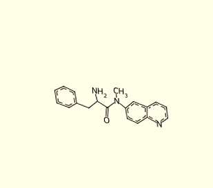 CN(C(=O)C(N)Cc1ccccc1)c1ccc2ncccc2c1